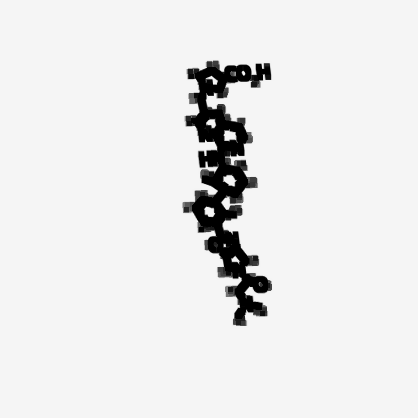 Cc1c(Nc2nccc3cc(CN4CCC(C(=O)O)C4)cnc23)cccc1-c1cccc(-c2nc3c(o2)CN(C(=O)CN(C)C)C3)c1C